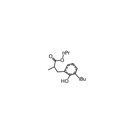 CCCOC(=O)C(C)Cc1cccc(C(C)CC)c1O